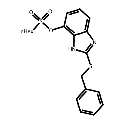 CCCCCCS(=O)(=O)Oc1cccc2nc(SCc3ccccc3)[nH]c12